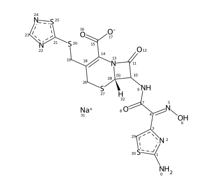 Nc1nc(C(=NO)C(=O)NC2C(=O)N3C(C(=O)[O-])=C(CSc4ncns4)CS[C@@H]23)cs1.[Na+]